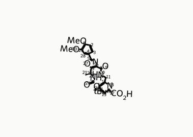 COc1ccc(-c2nc(C(=O)NCc3cccc(C(=O)O)n3)c([C@H](C)NC(=O)OC(C)(C)C)o2)cc1OC